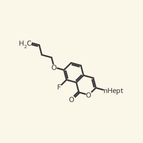 C=CCCOc1ccc2cc(CCCCCCC)oc(=O)c2c1F